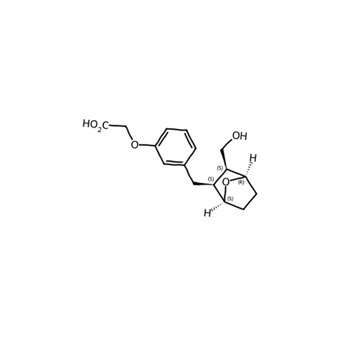 O=C(O)COc1cccc(C[C@H]2[C@@H](CO)[C@H]3CC[C@@H]2O3)c1